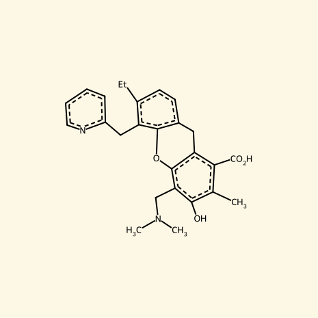 CCc1ccc2c(c1Cc1ccccn1)Oc1c(CN(C)C)c(O)c(C)c(C(=O)O)c1C2